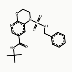 CC(C)(C)NC(=O)c1cnc2c(c1)N(S(=O)(=O)NCc1ccccc1)CCO2